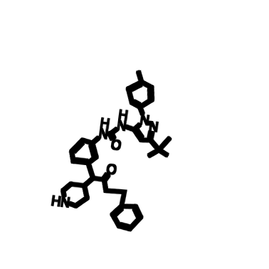 Cc1ccc(-n2nc(C(C)(C)C)cc2NC(=O)Nc2cccc(C(C(=O)CCc3ccccc3)C3CCNCC3)c2)cc1